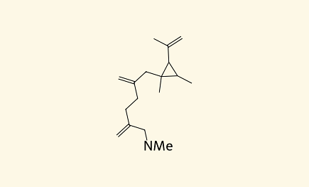 C=C(CCC(=C)CC1(C)C(C)C1C(=C)C)CNC